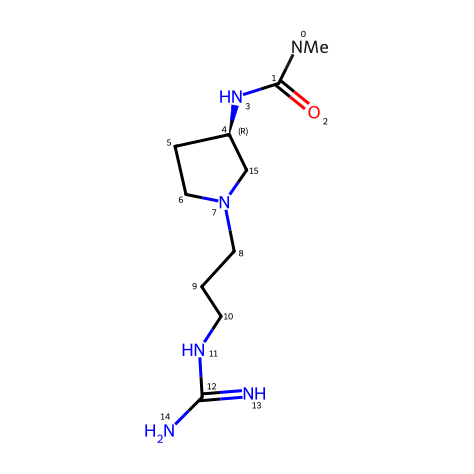 CNC(=O)N[C@@H]1CCN(CCCNC(=N)N)C1